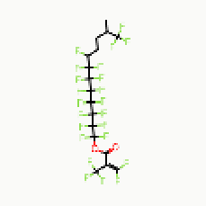 CC(CCC(F)C(F)(F)C(F)(F)C(F)(F)C(F)(F)C(F)(F)C(F)(F)C(F)(F)OC(=O)C(=C(F)F)C(F)(F)F)C(F)(F)F